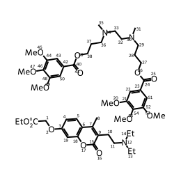 CCOC(=O)COc1ccc2c(C)c(CCN(CC)CC)c(=O)oc2c1.COc1cc(C(=O)OCCCN(C)CCN(C)CCCOC(=O)c2cc(OC)c(OC)c(OC)c2)cc(OC)c1OC